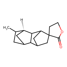 CC1CC2C[C@@H]1C1C2C2CC1C1(CCOC1=O)C2